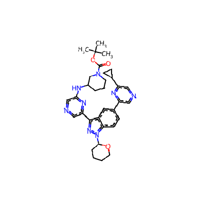 CC(C)(C)OC(=O)N1CCCC(Nc2cncc(-c3nn(C4CCCCO4)c4ccc(-c5cncc(C6CC6)n5)cc34)n2)C1